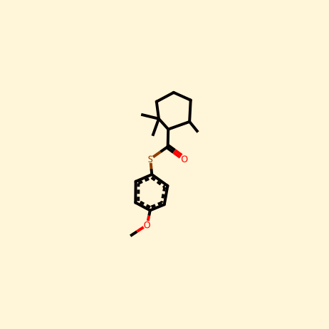 COc1ccc(SC(=O)C2C(C)CCCC2(C)C)cc1